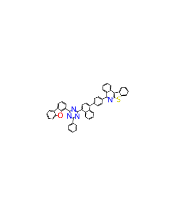 c1ccc(-c2nc(-c3ccc(-c4ccc(-c5nc6sc7ccccc7c6c6ccccc56)cc4)c4ccccc34)nc(-c3cccc4c3oc3ccccc34)n2)cc1